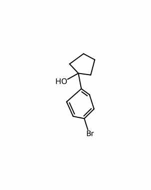 OC1(c2ccc(Br)cc2)CCCC1